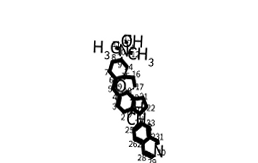 C[C@]12CC=C3C=C4CC[C@H]([N+](C)(C)O)C[C@]45CC[C@]3(O5)[C@@H]1CC[C@@H]2c1ccc2ccncc2c1